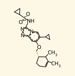 CC1=CCC[C@H](COc2cc3nnc(NS(=O)(=O)C4CC4)n3cc2C2CC2)C1C